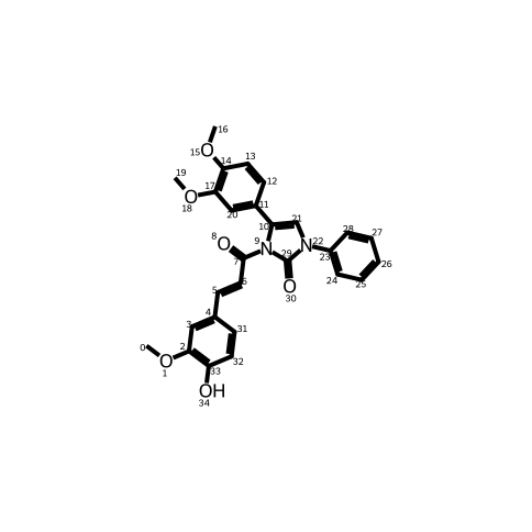 COc1cc(C=CC(=O)n2c(-c3ccc(OC)c(OC)c3)cn(-c3ccccc3)c2=O)ccc1O